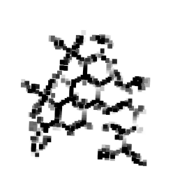 Nc1ccc2c(c1S(=O)(=O)[O-])Oc1c(ccc(N)c1S(=O)(=O)[O-])C2c1cc(C(=O)O)ccc1C(=O)O.[Li+].[Li+]